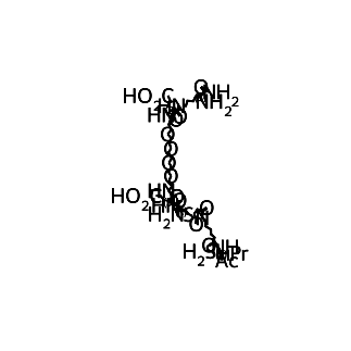 CC(=O)[C@@H]([SiH2]NC(=O)CCCCCN1C(=O)CC(SC[C@H](N)C(=O)N[C@@H](CCC(=O)O)C(=O)NCCOCCOCCOCCOCCC(=O)N[C@@H](CCC(=O)O)C(=O)NCCCC[C@H](N)C(N)=O)C1=O)C(C)C